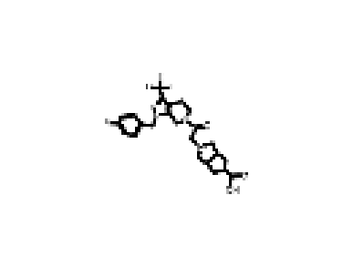 O=C(O)C1CC2CN(CC(=O)N3CCc4c(C(F)(F)F)nn(Cc5ccc(F)cc5)c4C3)CC2C1